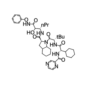 CCC[C@H](NC(=O)[C@@H]1CC2CCCCC2N1C(=O)[C@@H](NC(=O)[C@@H](NC(=O)c1cnccn1)C1CCCCC1)C(C)(C)C)C(O)C(=O)NOc1ccccc1